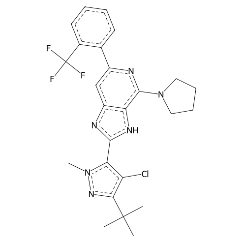 Cn1nc(C(C)(C)C)c(Cl)c1-c1nc2cc(-c3ccccc3C(F)(F)F)nc(N3CCCC3)c2[nH]1